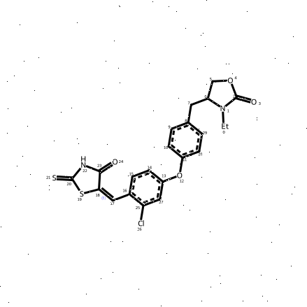 CCN1C(=O)OCC1Cc1ccc(Oc2ccc(/C=C3/SC(=S)NC3=O)c(Cl)c2)cc1